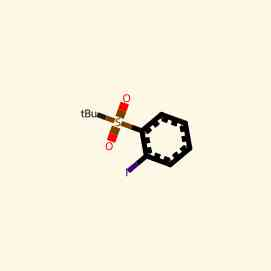 CC(C)(C)S(=O)(=O)c1ccccc1I